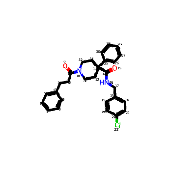 O=C(CCc1ccccc1)N1CCC(C(=O)NCc2ccc(Cl)cc2)(c2ccccc2)CC1